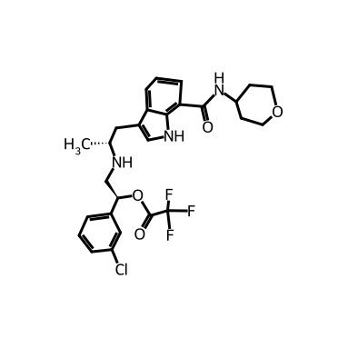 C[C@H](Cc1c[nH]c2c(C(=O)NC3CCOCC3)cccc12)NC[C@@H](OC(=O)C(F)(F)F)c1cccc(Cl)c1